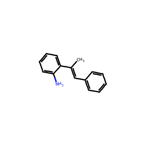 C/C(=C\c1ccccc1)c1ccccc1N